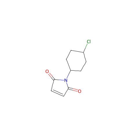 O=C1C=CC(=O)N1C1CCC(Cl)CC1